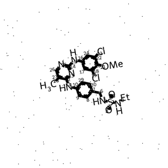 CCNS(=O)(=O)NCc1ccc(Nc2nc(Nc3cc(Cl)c(OC)c(Cl)c3)ncc2C)cc1